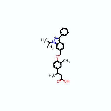 Cc1cc(C(C)CC(=O)O)ccc1OCc1ccc2c(-c3ccccc3)nn(C(C)C)c2c1